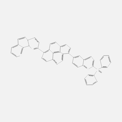 O=P(c1ccccc1)(c1ccccc1)c1ccc2cc(-c3ccc4ccc5c(C6=NC7c8ncccc8C=CC7C=C6)ccc6ccc3c4c65)ccc2n1